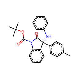 Cc1ccc([C@]2(Nc3ccccc3)C(=O)N(C(=O)OC(C)(C)C)c3ccccc32)cc1